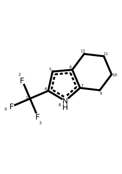 FC(F)(F)c1cc2c([nH]1)CCCC2